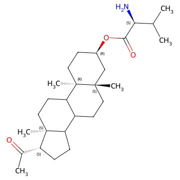 CC(=O)[C@H]1CCC2C3CC[C@@]4(C)C[C@H](OC(=O)[C@@H](N)C(C)C)CC[C@]4(C)C3CC[C@@]21C